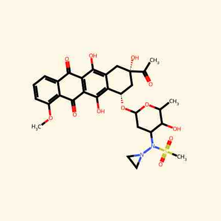 COc1cccc2c1C(=O)c1c(O)c3c(c(O)c1C2=O)C[C@@](O)(C(C)=O)C[C@@H]3OC1CC(N(N2CC2)S(C)(=O)=O)C(O)C(C)O1